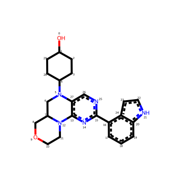 OC1CCC(N2CC3COCCN3c3nc(-c4cccc5[nH]ccc45)ncc32)CC1